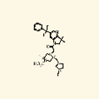 C[C@@H]1CN(CC(=O)N2CC(C)(C)c3ncc(C(F)(F)c4ccccc4)cc32)[C@@H](CN2CC[C@@H](F)C2)CN1C(=O)O